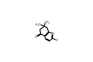 CC1(C)CC(=O)c2ccc(Cl)nc2C1